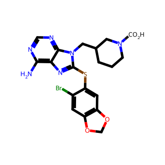 Nc1ncnc2c1nc(Sc1cc3c(cc1Br)OCO3)n2CC1CCCN(C(=O)O)C1